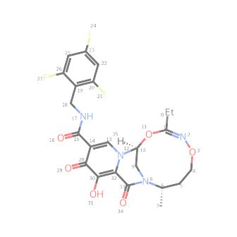 CC/C1=N/OCC[C@H](C)N2C[C@H](O1)n1cc(C(=O)NCc3c(F)cc(F)cc3F)c(=O)c(O)c1C2=O